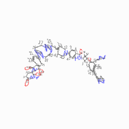 CC1(C)[C@H](NC(=O)c2ccc(N3CCC(CN4CCN(c5ccc6c(c5)C(=O)N(C5CCC(=O)NC5=O)C6=O)CC4)CC3)cc2)C(C)(C)[C@H]1Oc1ccc(C#N)cc1C#N